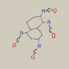 O=C=NC1CC(N=C=O)C2CCC(N=C=O)C(N=C=O)C2C1